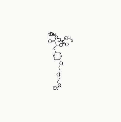 CCOCCOCCOc1ccc(C[C@H](OS(C)(=O)=O)C(=O)OC(C)(C)C)cc1